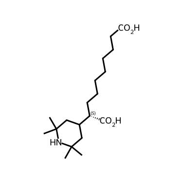 CC1(C)CC([C@H](CCCCCCCC(=O)O)C(=O)O)CC(C)(C)N1